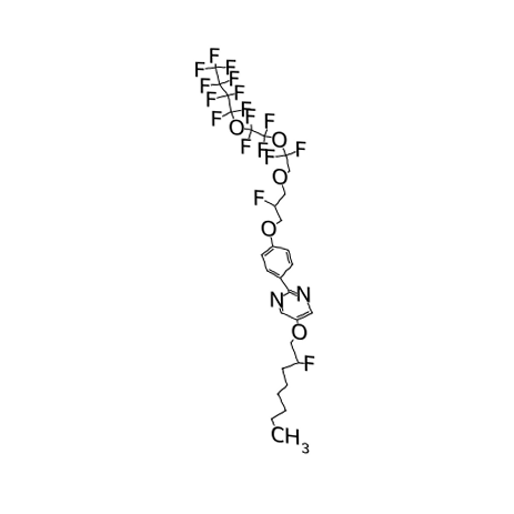 CCCCCCC(F)COc1cnc(-c2ccc(OCC(F)COCC(F)(F)OC(F)(F)C(F)(F)OC(F)(F)C(F)(F)C(F)(F)C(F)(F)F)cc2)nc1